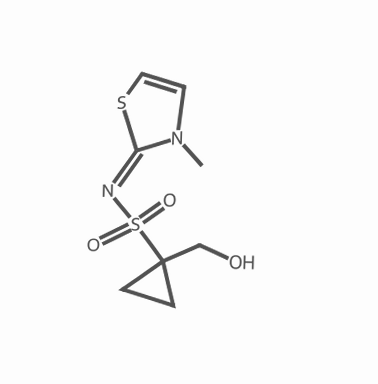 Cn1ccs/c1=N/S(=O)(=O)C1(CO)CC1